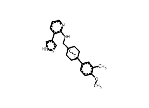 COc1ccc(C23CCC(CNc4ncccc4-c4cn[nH]c4)(CC2)CC3)cc1C